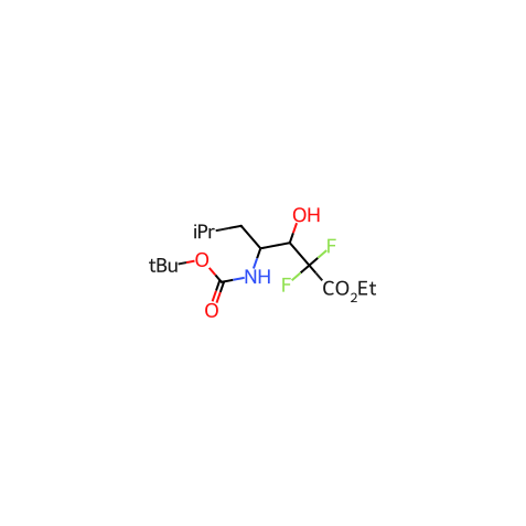 CCOC(=O)C(F)(F)C(O)C(CC(C)C)NC(=O)OC(C)(C)C